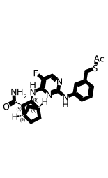 CC(=O)SCc1cccc(Nc2ncc(F)c(N[C@@H]3[C@H]4CC[C@H](C4)[C@@H]3C(N)=O)n2)c1